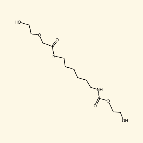 O=C(COCCO)NCCCCCCNC(=O)OCCO